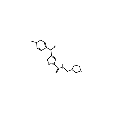 C=C(NCC1CCSC1)C1=NCC(C(F)C2=CCC(C)C=C2)=C1